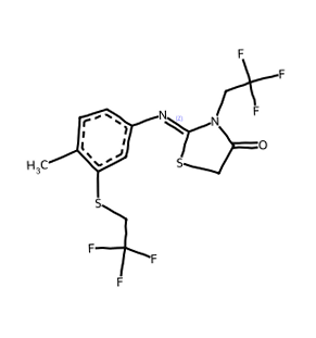 Cc1ccc(/N=C2\SCC(=O)N2CC(F)(F)F)cc1SCC(F)(F)F